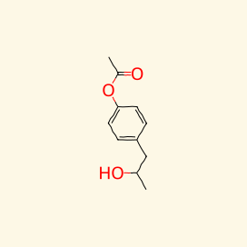 CC(=O)Oc1ccc(CC(C)O)cc1